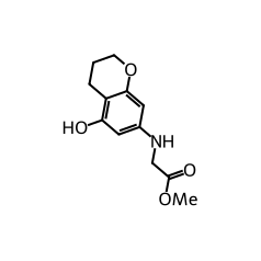 COC(=O)CNc1cc(O)c2c(c1)OCCC2